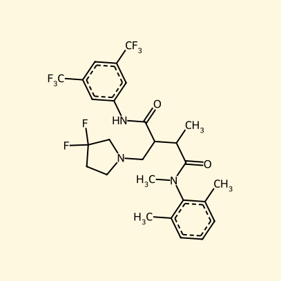 Cc1cccc(C)c1N(C)C(=O)C(C)C(CN1CCC(F)(F)C1)C(=O)Nc1cc(C(F)(F)F)cc(C(F)(F)F)c1